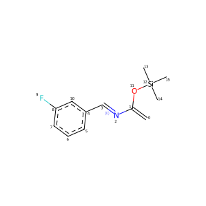 C=C(/N=C/c1cccc(F)c1)O[Si](C)(C)C